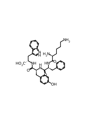 NCCCC[C@H](N)C(=O)N[C@@H](Cc1ccccc1)C(=O)N[C@@H](Cc1ccc(O)cc1)C(=O)N[C@@H](Cc1c[nH]c2ccccc12)C(=O)O